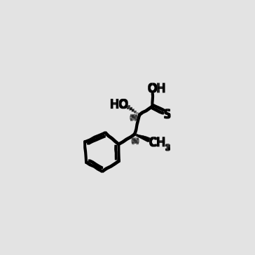 C[C@@H](c1ccccc1)[C@H](O)C(O)=S